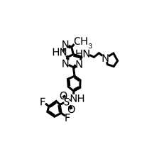 Cc1n[nH]c2nc(-c3ccc(NS(=O)(=O)c4cc(F)ccc4F)cc3)nc(NCCN3CCCC3)c12